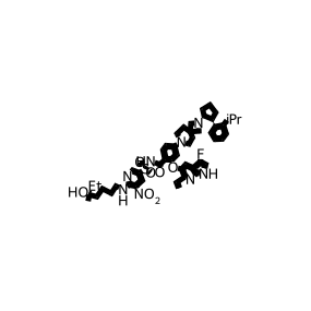 C=Cc1nc2[nH]cc(F)c2cc1Oc1cc(N2CCC3(CC2)CN([C@@H]2CCC[C@@H]2c2ccccc2C(C)C)C3)ccc1C(=O)NS(=O)(=O)c1cnc(NCCCC[C@](C)(O)CC)c([N+](=O)[O-])c1